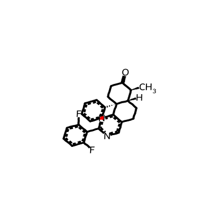 C[C@@H]1C(=O)CC[C@]2(c3ccccc3)c3nc(-c4c(F)cccc4F)ncc3CC[C@@H]12